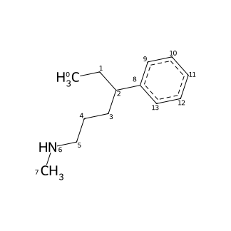 CCC(CCCNC)c1ccccc1